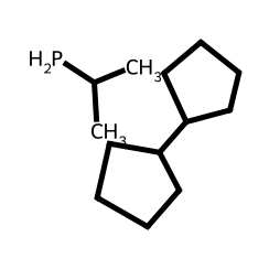 C1CCC(C2CCCC2)C1.CC(C)P